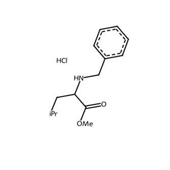 COC(=O)C(CC(C)C)NCc1ccccc1.Cl